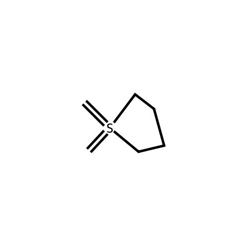 C=S1(=C)CCCC1